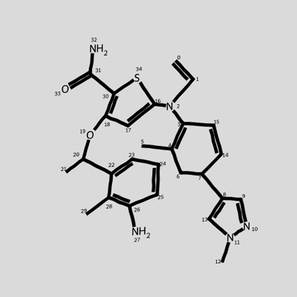 C=CN(C1=C(C)CC(c2cnn(C)c2)C=C1)c1cc(OC(C)c2cccc(N)c2C)c(C(N)=O)s1